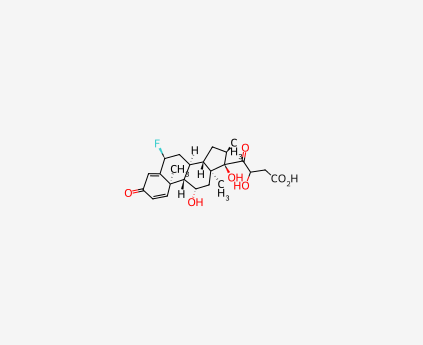 C[C@@H]1C[C@H]2[C@@H]3C[C@H](F)C4=CC(=O)C=C[C@]4(C)[C@H]3[C@@H](O)C[C@]2(C)[C@@]1(O)C(=O)C(O)CC(=O)O